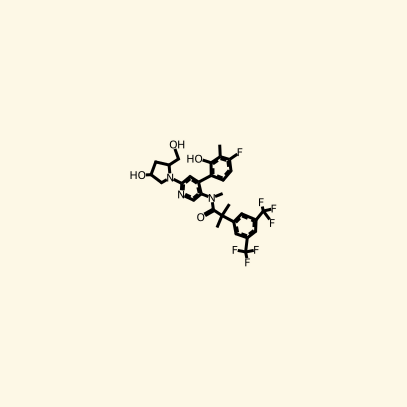 Cc1c(F)ccc(-c2cc(N3CC(O)CC3CO)ncc2N(C)C(=O)C(C)(C)c2cc(C(F)(F)F)cc(C(F)(F)F)c2)c1O